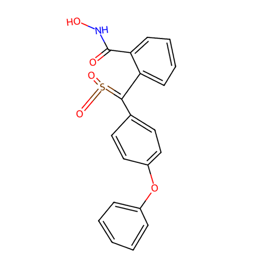 O=C(NO)c1ccccc1C(c1ccc(Oc2ccccc2)cc1)=S(=O)=O